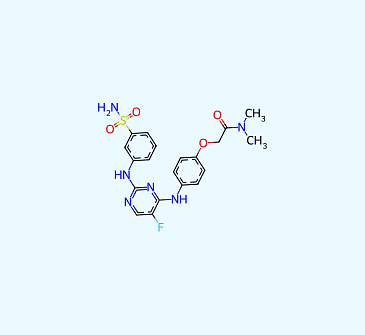 CN(C)C(=O)COc1ccc(Nc2nc(Nc3cccc(S(N)(=O)=O)c3)ncc2F)cc1